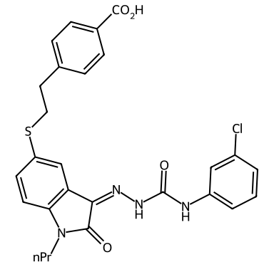 CCCN1C(=O)C(=NNC(=O)Nc2cccc(Cl)c2)c2cc(SCCc3ccc(C(=O)O)cc3)ccc21